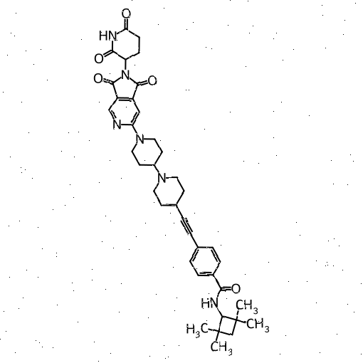 CC1(C)CC(C)(C)C1NC(=O)c1ccc(C#CC2CCN(C3CCN(c4cc5c(cn4)C(=O)N(C4CCC(=O)NC4=O)C5=O)CC3)CC2)cc1